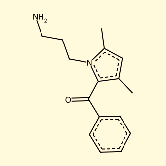 Cc1cc(C)n(CCCN)c1C(=O)c1ccccc1